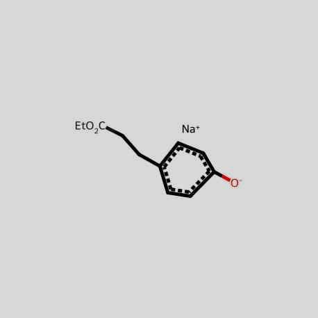 CCOC(=O)CCc1ccc([O-])cc1.[Na+]